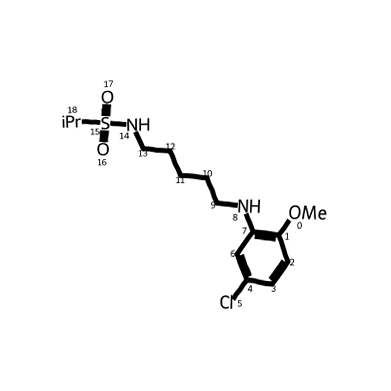 COc1ccc(Cl)cc1NCCCCCNS(=O)(=O)C(C)C